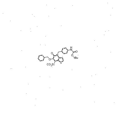 CCOC(=O)c1c(OCc2ccccc2)c(=O)n(Cc2ccc(NC(=O)OC(C)(C)C)cc2)c2ccsc12